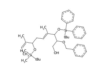 C/C=C(/C)C(C/C=C(\C)C(O[Si](c1ccccc1)(c1ccccc1)C(C)(C)C)C(CO)OCc1ccccc1)O[Si](C)(C)C(C)(C)C